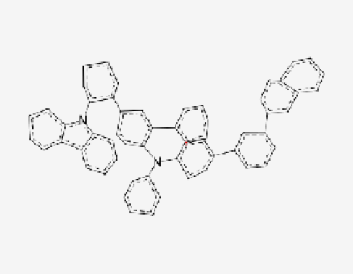 c1ccc(-c2cc(-c3ccccc3-n3c4ccccc4c4ccccc43)ccc2N(c2ccccc2)c2ccc(-c3cccc(-c4ccc5ccccc5c4)c3)cc2)cc1